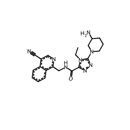 CCn1c(C(=O)NCc2ncc(C#N)c3ccccc23)nnc1N1CCCC(N)C1